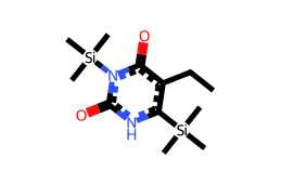 CCc1c([Si](C)(C)C)[nH]c(=O)n([Si](C)(C)C)c1=O